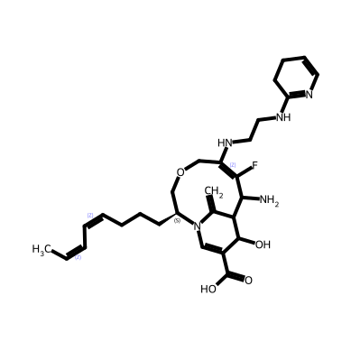 C=C1C2C(O)C(C(=O)O)=CN1[C@@H](CCC/C=C\C=C/C)COC/C(NCCNC1=NC=CCC1)=C(/F)C2N